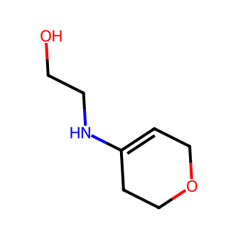 OCCNC1=CCOCC1